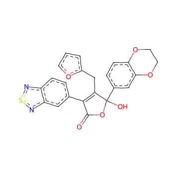 O=C1OC(O)(c2ccc3c(c2)OCCO3)C(Cc2ccco2)=C1c1ccc2nsnc2c1